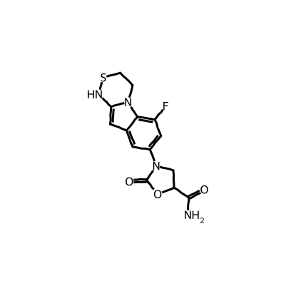 NC(=O)C1CN(c2cc(F)c3c(c2)cc2n3CCSN2)C(=O)O1